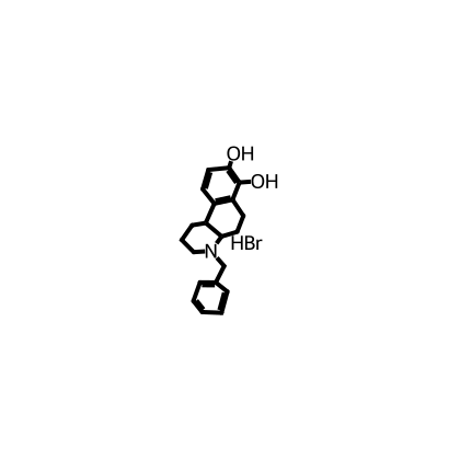 Br.Oc1ccc2c(c1O)CCC1C2CCCN1Cc1ccccc1